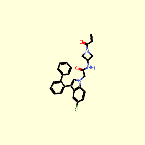 C=CC(=O)N1CC(NC(=O)Cn2cc(-c3ccccc3-c3ccccc3)c3cc(Cl)ccc32)C1